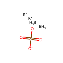 B.B.O=S(=O)([O-])[O-].[K+].[K+]